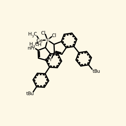 CCCC1=Cc2c(-c3ccc(C(C)(C)C)cc3)cccc2[CH]1[Ti]([Cl])([Cl])([CH]1C(CCC)=Cc2c(-c3ccc(C(C)(C)C)cc3)cccc21)[GeH]([CH3])[CH3]